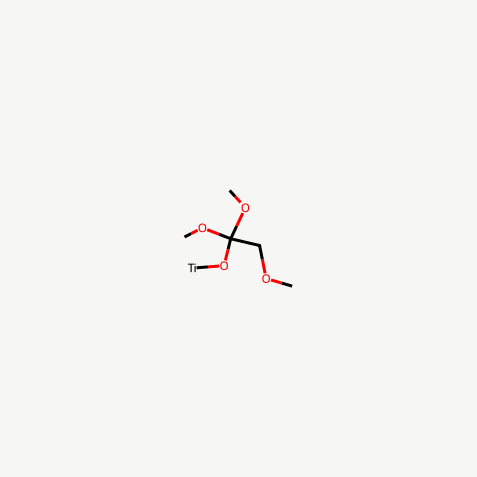 COCC(OC)(OC)[O][Ti]